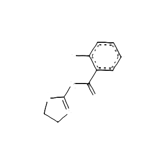 Nc1ccccc1C(=O)NC1=NCCS1